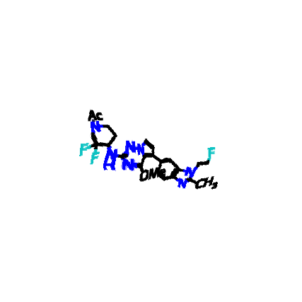 COc1nc(N[C@@H]2CCN(C(C)=O)CC2(F)F)nn2ccc(-c3ccc4nc(C)n(CCF)c4c3)c12